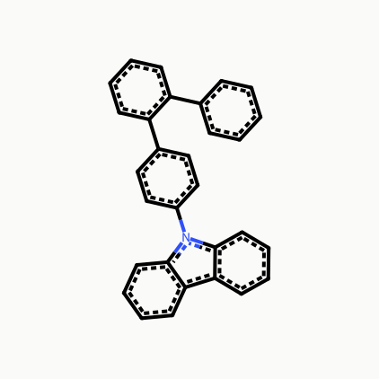 c1ccc(-c2ccccc2-c2ccc(-n3c4ccccc4c4ccccc43)cc2)cc1